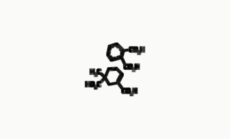 CC1(C(=O)O)C=CC=C(C(=O)O)C1.O=C(O)c1ccccc1C(=O)O